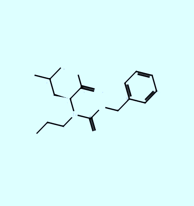 CCCN(C(=O)OCc1ccccc1)[C@@H](CC(C)C)C(=O)O